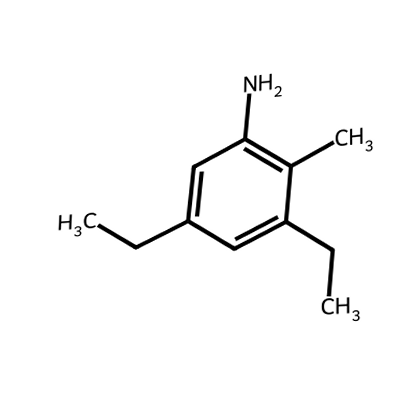 CCc1cc(N)c(C)c(CC)c1